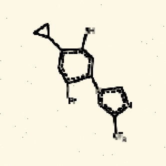 CC(C)c1cc(C2CC2)c(S)cc1-n1cnc(C(F)(F)F)n1